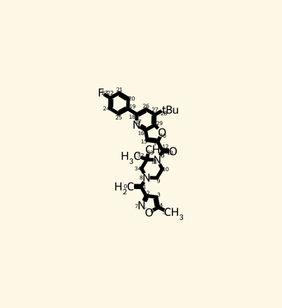 C=C(c1cc(C)on1)N1CCN(C(=O)c2cc3nc(-c4ccc(F)cc4)cc(C(C)(C)C)c3o2)C(C)(C)C1